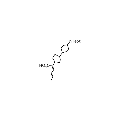 CC=CC=C(C(=O)O)C1CCC(C2CCC(CCCCCCC)CC2)CC1